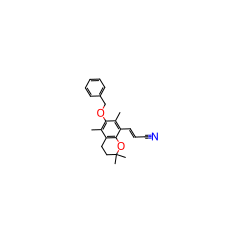 Cc1c(C=CC#N)c2c(c(C)c1OCc1ccccc1)CCC(C)(C)O2